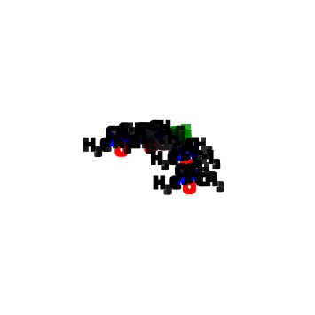 CN(C)C(=O)N(C)C.CN(C)C(=O)N(C)C.CN(C)C(=O)N(C)C.CN(C)C(=O)N(C)C.O=C(O)F.O=C(O)F.O=C(O)F.O=C(O)F